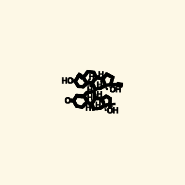 C#C[C@]1(O)CC[C@H]2[C@@H]3CCC4=C[C@@H](O)CC[C@@H]4[C@H]3CC[C@@]21C.C[C@]1(O)CC[C@H]2[C@@H]3CCC4=CC(=O)CC[C@@H]4[C@H]3CC[C@@]21C